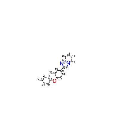 Cc1ccc(Oc2ccc(-c3cn4ccccc4n3)cc2C)cc1